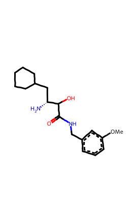 COc1cccc(CNC(=O)C(O)[C@H](N)CC2CCCCC2)c1